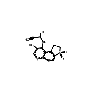 C#CC(C)Nc1c(C#N)cnc2ccc3c(c12)CCS3(=O)=O